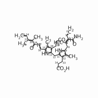 C=C/C(C(N)=O)=C(\C)Cc1[nH]c(Cc2[nH]c(/C=N/C(=O)/C(C)=C(\C)C=C)c(C)c2CCC(=O)O)c(CCC(=O)O)c1C